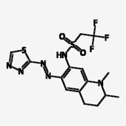 CC1CCc2cc(N=Nc3nncs3)c(NS(=O)(=O)CC(F)(F)F)cc2N1C